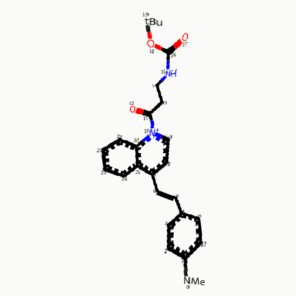 CNc1ccc(C=Cc2cc[n+](C(=O)CCNC(=O)OC(C)(C)C)c3ccccc23)cc1